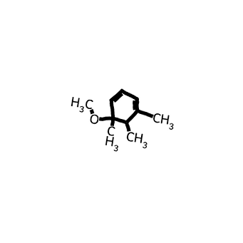 COC1(C)C=CC=C(C)C1C